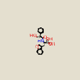 O=C(N[C@@H](Cc1coc2ccccc12)B(O)O)[C@H](CO)c1ccccc1